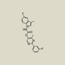 Cc1nc(-c2cccc(F)c2)ncc1OC(=O)Nn1cc(C)c2cc(F)ccc21